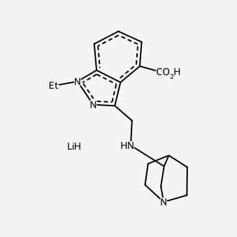 CCn1nc(CNC2CN3CCC2CC3)c2c(C(=O)O)cccc21.[LiH]